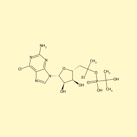 CCC(C)(C[C@H]1O[C@@H](n2cnc3c(Cl)nc(N)nc32)[C@H](O)[C@@H]1O)OP(=O)(O)C(C)(C)O